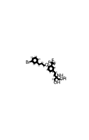 NC(/C=C/c1ccc(OCCCc2cccc(Br)c2)c(C(F)(F)F)c1)(CO)CO